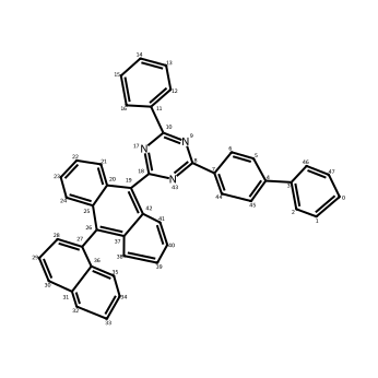 c1ccc(-c2ccc(-c3nc(-c4ccccc4)nc(-c4c5ccccc5c(-c5cccc6ccccc56)c5ccccc45)n3)cc2)cc1